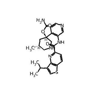 CC(C)c1csc2ccc(C(=O)Nc3cnccc3[C@]3(OC(N)=O)CNC[C@H](C)C3)nc12